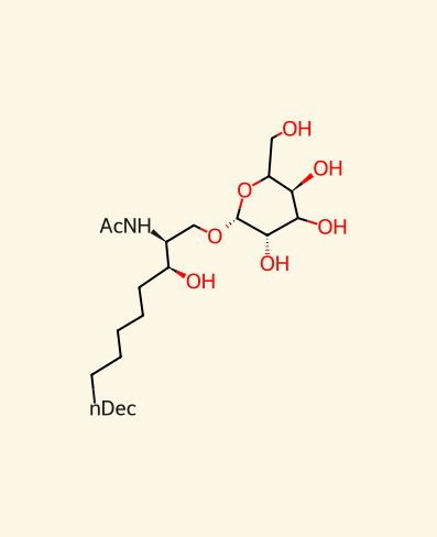 CCCCCCCCCCCCCCC[C@H](O)[C@H](CO[C@@H]1OC(CO)[C@@H](O)C(O)[C@@H]1O)NC(C)=O